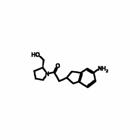 Nc1ccc2c(c1)CC(CC(=O)N1CCC[C@H]1CO)C2